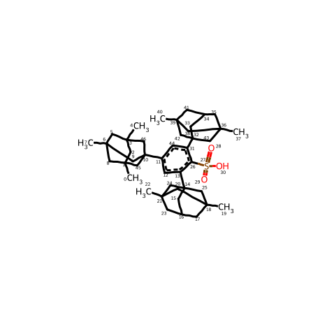 CC12CC3(C)CC(C)(C1)CC(c1cc(C45CC6CC(C)(CC(C)(C6)C4)C5)c(S(=O)(=O)O)c(C45CC6CC(C)(CC(C)(C6)C4)C5)c1)(C2)C3